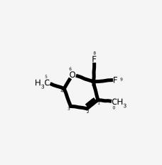 CC1=CCC(C)OC1(F)F